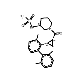 CS(=O)(=O)N[C@H]1CCCN(C(=O)[C@H]2C[C@@H]2c2c(F)cccc2-c2c(F)cccc2F)C1